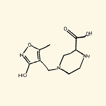 Cc1onc(O)c1CN1CCNC(C(=O)O)C1